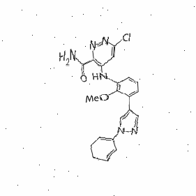 COc1c(Nc2cc(Cl)nnc2C(N)=O)cccc1-c1cnn(C2=CCCC=C2)c1